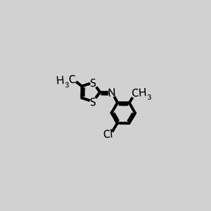 Cc1csc(=Nc2cc(Cl)ccc2C)s1